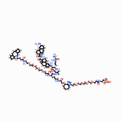 CC(C)[C@H](NC(=O)[C@@H](CCCCNC(=O)COC1CCCCCc2c1nnn2CCOCCOCCOCCOCCC(=O)NCCS(=O)(=O)O)NC(=O)CCOCCOCCOCCOCCNC(=O)CCC(=O)N1Cc2ccccc2CCc2ccccc21)C(=O)N[C@@H](CCCNC(N)=O)C(=O)Nc1ccc2c(c1)[C@@]1(C)CCC[C@](C)(C(=O)NC(=O)[C@@]3(C)CCC[C@]4(C)c5cc(N)ccc5CC[C@@H]34)[C@@H]1CC2